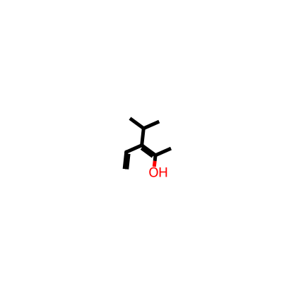 C=CC(=C(C)O)C(C)C